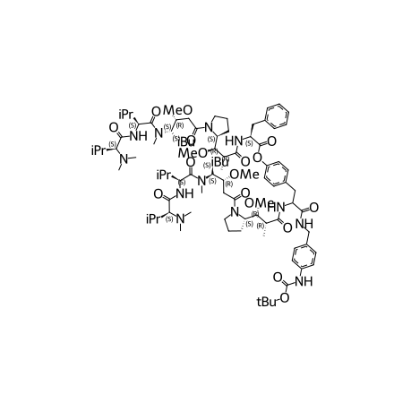 CC[C@H](C)[C@@H]([C@@H](CC(=O)N1CCC[C@H]1[C@H](OC)[C@@H](C)C(=O)NC(Cc1ccc(OC(=O)[C@H](Cc2ccccc2)NC(=O)[C@H](C)[C@@H](OC)[C@@H]2CCCN2C(=O)C[C@@H](OC)[C@H]([C@@H](C)CC)N(C)C(=O)[C@@H](NC(=O)[C@H](C(C)C)N(C)C)C(C)C)cc1)C(=O)NCc1ccc(NC(=O)OC(C)(C)C)cc1)OC)N(C)C(=O)[C@@H](NC(=O)[C@H](C(C)C)N(C)C)C(C)C